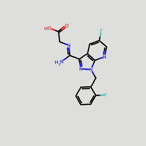 NC(=NCC(=O)O)c1nn(Cc2ccccc2F)c2ncc(F)cc12